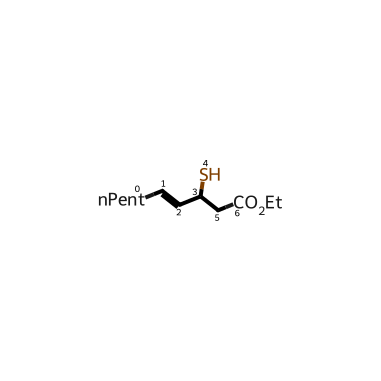 CCCCCC=CC(S)CC(=O)OCC